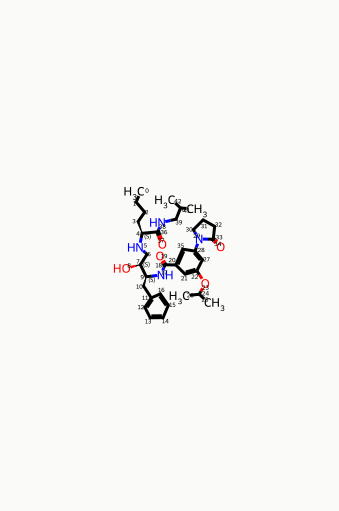 CCCC[C@H](NC[C@H](O)[C@H](Cc1ccccc1)NC(=O)c1cc(OC(C)C)cc(N2CCCC2=O)c1)C(=O)NCC(C)C